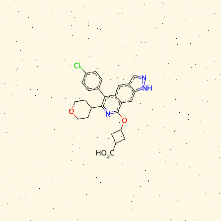 O=C(O)C1CC(Oc2nc(C3CCOCC3)c(-c3ccc(Cl)cc3)c3cc4cn[nH]c4cc23)C1